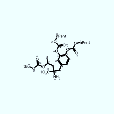 CCCCCOC(=O)Oc1ccc(CC(N)(C[C@H](C)OC(=O)OC(C)(C)C)C(=O)O)cc1OC(=O)OCCCCC